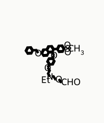 CCN(CCOCC=O)CCOc1ccc(Oc2c(-c3ccc(S(C)(=O)=O)cc3)ccc3cc(OCc4ccccc4)ccc23)cc1